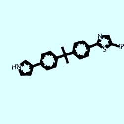 CC(C)c1cnc(-c2ccc(C(C)(C)c3ccc(-c4cc[nH]c4)cc3)cc2)s1